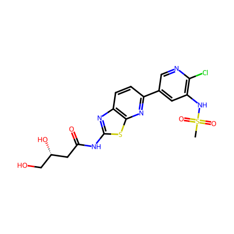 CS(=O)(=O)Nc1cc(-c2ccc3nc(NC(=O)C[C@@H](O)CO)sc3n2)cnc1Cl